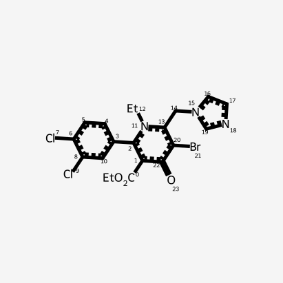 CCOC(=O)c1c(-c2ccc(Cl)c(Cl)c2)n(CC)c(Cn2ccnc2)c(Br)c1=O